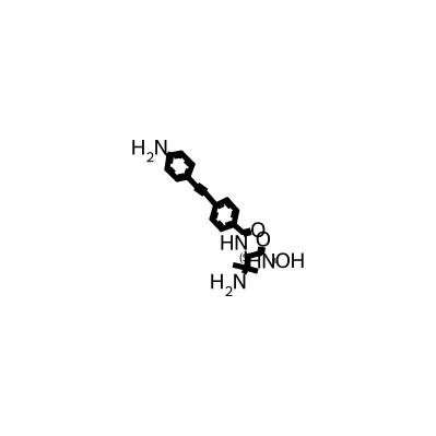 CC(C)(N)[C@H](NC(=O)c1ccc(C#Cc2ccc(N)cc2)cc1)C(=O)NO